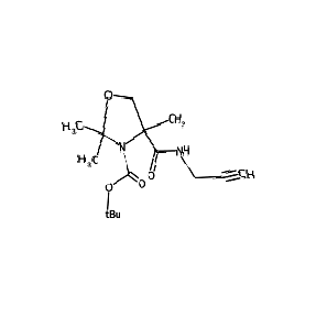 C#CCNC(=O)C1(C)COC(C)(C)N1C(=O)OC(C)(C)C